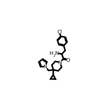 NC(Cc1ccc(Cl)cc1)C(=O)N1CCC(Cn2cccc2)(C2CC2)CC1